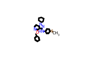 CSc1ccc(Nc2nn(C3CCCCC3)c3ccnc(OCc4ccccc4)c23)cc1